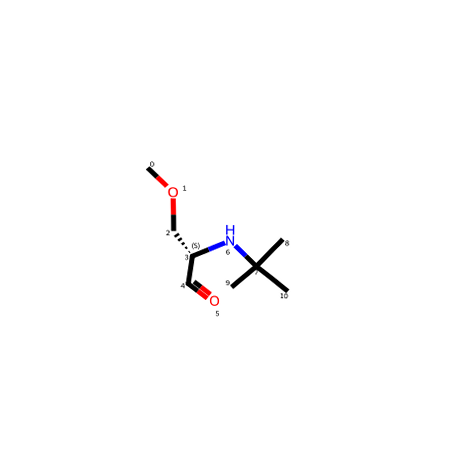 COC[C@@H](C=O)NC(C)(C)C